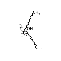 CCCCCCCCCCC(O)CN1CC(CCCCCCCCCC)OC(=O)C1COC=O